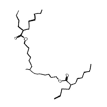 CCCCCCC(CCCC)C(=O)OCCCCCCC(C)CCCCCCOC(=O)C(CCCC)CCCCCC